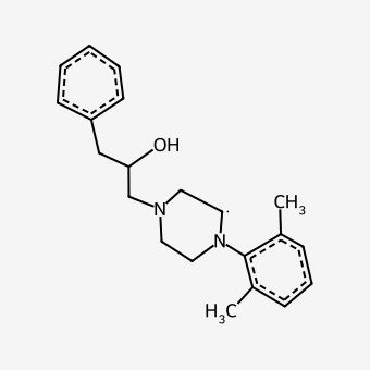 Cc1cccc(C)c1N1[CH]CN(CC(O)Cc2ccccc2)CC1